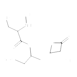 CCCCCCCCCCCC(C[C@@H]1OC(=O)[C@@H]1C)OC(=O)C(CC(C)C)NC=O